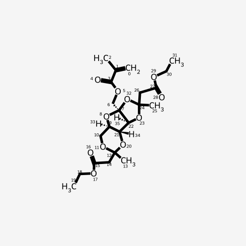 C=C(C)C(=O)OC[C@@]12O[C@@H]3COC(C)(CC(=O)OCC)O[C@H]3[C@@H]1OC(C)(CC(=O)OCC)O2